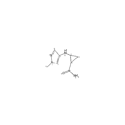 Cn1cc(NC2CC2C(N)=O)cn1